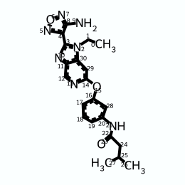 CCn1c(-c2nonc2N)nc2cnc(Oc3cccc(NC(=O)CC(C)C)c3)cc21